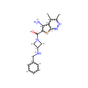 Cc1nnc2sc(C(=O)N3CC(NCc4ccccc4)C3)c(N)c2c1C